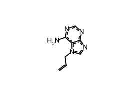 C=CCn1cnc2ncnc(N)c21